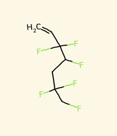 C=CC(F)(F)C(F)CC(F)(F)CF